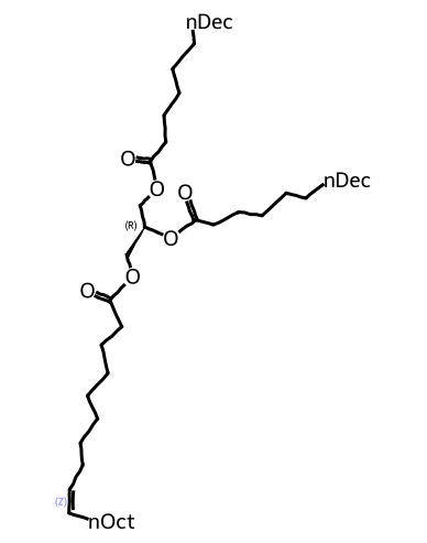 CCCCCCCC/C=C\CCCCCCCC(=O)OC[C@@H](COC(=O)CCCCCCCCCCCCCCC)OC(=O)CCCCCCCCCCCCCCC